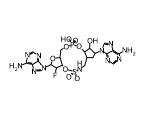 Nc1ncnc2c1ncn2C1CC2CNS(=O)(=O)OC3C(COP(=O)(O)OC2C1O)OC(n1cnc2c(N)ncnc21)C3F